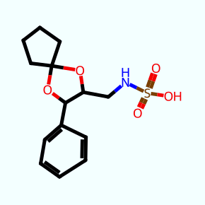 O=S(=O)(O)NCC1OC2(CCCC2)OC1c1ccccc1